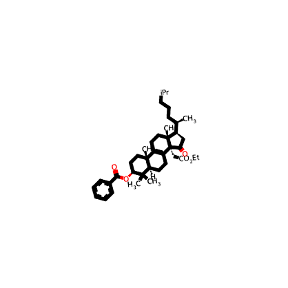 CCOC(=O)C[C@@]12C(=O)C[C@H]([C@H](C)CCCC(C)C)[C@@]1(C)CCC1=C2CC[C@H]2C(C)(C)[C@@H](OC(=O)c3ccccc3)CC[C@]12C